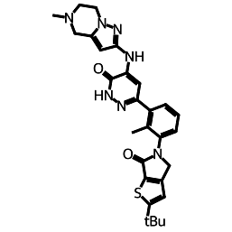 Cc1c(-c2cc(Nc3cc4n(n3)CCN(C)C4)c(=O)[nH]n2)cccc1N1Cc2cc(C(C)(C)C)sc2C1=O